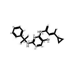 C=C(/C=C(\C)C1CC1)Nc1nc(NC(C)(C)c2ccccc2)ncc1Br